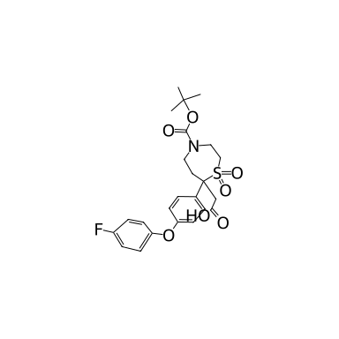 CC(C)(C)OC(=O)N1CCC(CC(=O)O)(c2ccc(Oc3ccc(F)cc3)cc2)S(=O)(=O)CC1